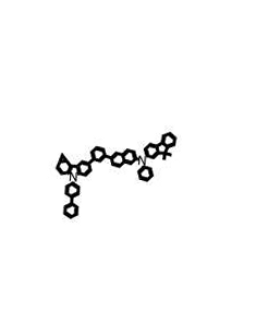 CC1(C)c2ccccc2-c2ccc(N(c3ccccc3)c3ccc4cc(-c5cccc(-c6ccc7c(c6)c6c(n7-c7ccc(-c8ccccc8)cc7)C=CC7CC67)c5)ccc4c3)cc21